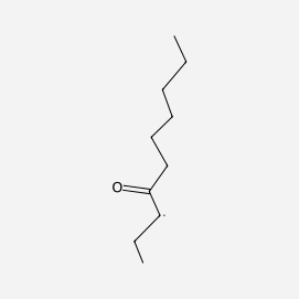 CC[CH]C(=O)CCCCCC